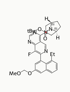 CCc1cccc2cc(OCOC)cc(-c3ncc4c(N5C[C@@H]6CC[C@@H](C5)N6C(=O)OC(C)(C)C)ncnc4c3F)c12